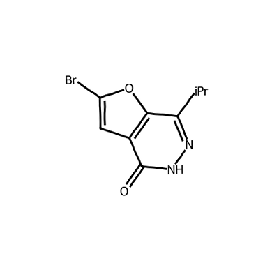 CC(C)c1n[nH]c(=O)c2cc(Br)oc12